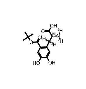 [2H]N([2H])[C@H](C(=O)O)C([2H])([2H])c1cc(O)c(O)cc1C(=O)OC(C)(C)C